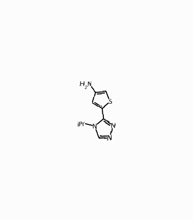 CC(C)n1cnnc1-c1cc(N)cs1